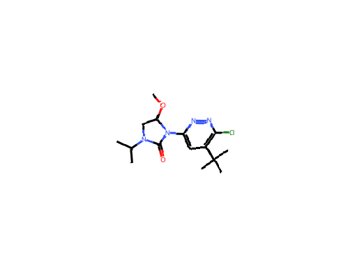 COC1CN(C(C)C)C(=O)N1c1cc(C(C)(C)C)c(Cl)nn1